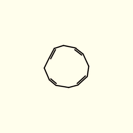 [C]1=CCC=CCC=CCC=CC1